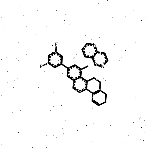 Cc1cc(-c2cc(F)cc(F)c2)cc2ccc3c(c12)CCC1=C3C=CCC1.c1cnc2ccncc2c1